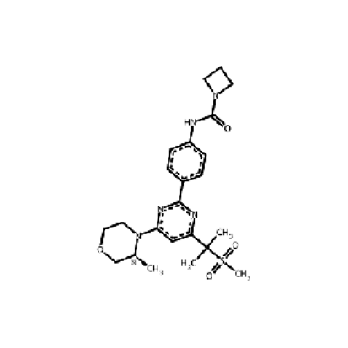 C[C@H]1COCCN1c1cc(C(C)(C)S(C)(=O)=O)nc(-c2ccc(NC(=O)N3CCC3)cc2)n1